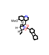 C=C[C@H]1CN2CC[C@H]1C[C@@H]2[C@@H](OC(=O)c1ccc2c(c1)-c1ccccc1-2)c1ccnc2ccc(OC)cc12